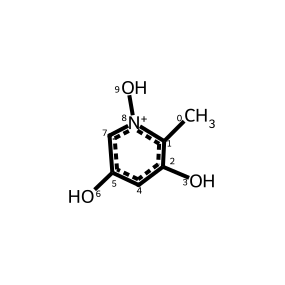 Cc1c(O)cc(O)c[n+]1O